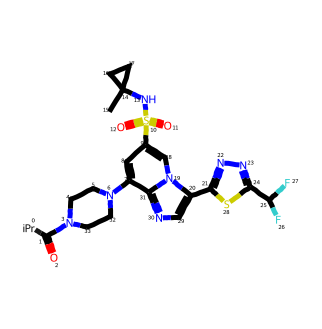 CC(C)C(=O)N1CCN(c2cc(S(=O)(=O)NC3(C)CC3)cn3c(-c4nnc(C(F)F)s4)cnc23)CC1